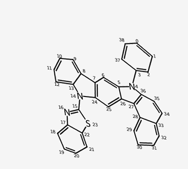 c1ccc(-n2c3cc4c5ccccc5n(-c5nc6ccccc6s5)c4cc3c3c4ccccc4ccc32)cc1